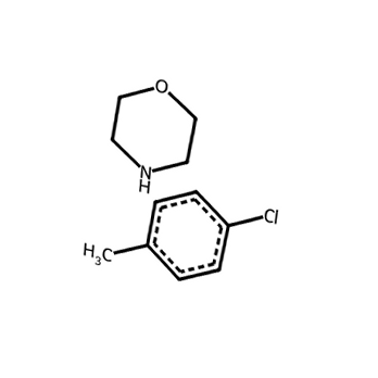 C1COCCN1.Cc1ccc(Cl)cc1